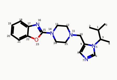 CC(C)C(C)n1cncc1CN1CCN(c2nc3ccccc3o2)CC1